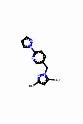 CC(C)(C)c1cc(C(=O)O)n(Cc2ccc(-n3cccn3)nc2)n1